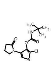 CC(C)(C)NC(=O)Oc1c(N2CCCC2=O)csc1Cl